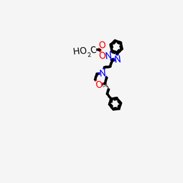 O=C(O)C(=O)On1c(CCN2CCO[C@@H](CCc3ccccc3)C2)nc2ccccc21